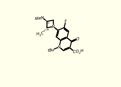 CN[C@H]1CN(c2cc3c(cc2F)c(=O)c(C(=O)O)cn3C(C)(C)C)[C@@H]1C